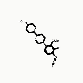 CCCCCCCC[C@H]1CC[C@H]([C@H]2CC[C@H](c3ccc(N=C=S)c(F)c3OC)CC2)CC1